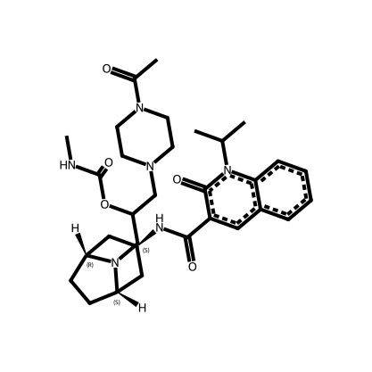 CNC(=O)OC(CN1CCN(C(C)=O)CC1)CN1[C@@H]2CC[C@H]1C[C@H](NC(=O)c1cc3ccccc3n(C(C)C)c1=O)C2